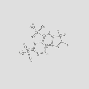 CC1=Nc2c(cc(S(=O)(=O)O)c3cc(S(=O)(=O)O)ccc23)C1(C)C